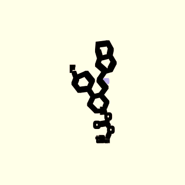 CC(C)(C)OC(=O)ON1CCC(c2ccc(F)cc2)C(/C=C/c2ccc3ccccc3c2)C1